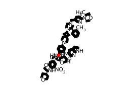 Cc1ccccc1[C@@H]1CN(Cc2cnc(N3CCOC[C@@H]3C)c(F)c2)CCN1C1CC2(CCN(c3ccc(C(=O)NS(=O)(=O)c4cc5c(c([N+](=O)[O-])c4)N[C@H](C4CCOCC4)CO5)c(N4c5cc6cc[nH]c6nc5O[C@H]5COCC[C@@H]54)c3)CC2)C1